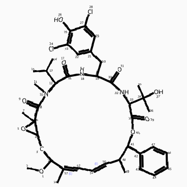 COC1CC2OC2(C)C(=O)N(C)C(C(C)C)C(=O)NC(Cc2cc(Cl)c(O)c(Cl)c2)C(=O)NC(C(C)(C)O)C(=O)OC(c2ccccc2)C(C)/C=C/C=C/1C